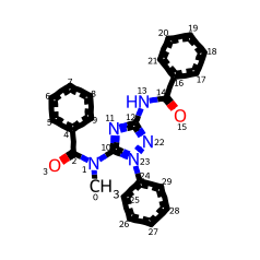 CN(C(=O)c1ccccc1)c1nc(NC(=O)c2ccccc2)nn1-c1ccccc1